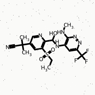 CCS(=O)(=O)c1cc(C(C)(C)C#N)cnc1C(O)Nc1cc(C(F)(F)F)nnc1NC